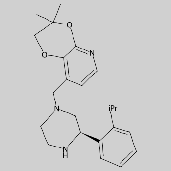 CC(C)c1ccccc1[C@@H]1CN(Cc2ccnc3c2OCC(C)(C)O3)CCN1